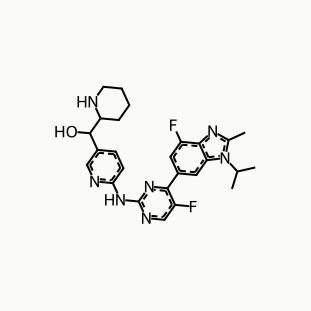 Cc1nc2c(F)cc(-c3nc(Nc4ccc(C(O)C5CCCCN5)cn4)ncc3F)cc2n1C(C)C